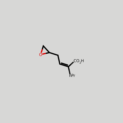 CCCC(=CCC1CO1)C(=O)O